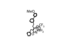 COc1cccc(-c2cccc(CCC3=C(Cc4ccccc4)C(=O)N(C)C(N)N3OC(=O)C(F)(F)F)c2)c1